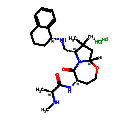 CN[C@@H](C)C(=O)N[C@H]1CCO[C@H]2CC(C)(C)[C@@H](CN[C@@H]3CCCc4ccccc43)N2C1=O.Cl.Cl